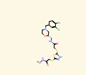 CNC(=O)CSC1=NNC(SCC(=O)NC[C@H]2CN(CC3C=C(Cl)C(Cl)=CC3)CCO2)S1